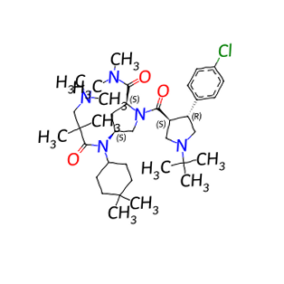 CN(C)CC(C)(C)C(=O)N(C1CCC(C)(C)CC1)[C@H]1C[C@@H](C(=O)N(C)C)N(C(=O)[C@@H]2CN(C(C)(C)C)C[C@H]2c2ccc(Cl)cc2)C1